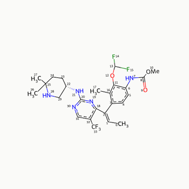 C/C=C(\c1ccc(NC(=O)OC)c(OC(F)F)c1C)c1nc(N[C@H]2CCC(C)(C)NC2)ncc1C(F)(F)F